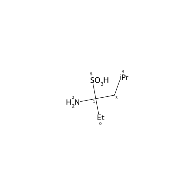 CCC(N)(CC(C)C)S(=O)(=O)O